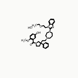 CCOCCn1c(N2CCCN(CCC3(c4ccccc4)CCN(C(=O)c4cc(O)ccc4OC)C3)CC2)nc2ccccc21.Cl